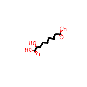 O=C(O)CCCCCC=C(O)C(=O)O